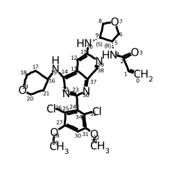 C=CC(=O)N[C@H]1COC[C@H]1Nc1cc2c(NC3CCOCC3)nc(-c3c(Cl)c(OC)cc(OC)c3Cl)nc2cn1